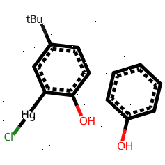 CC(C)(C)c1ccc(O)[c]([Hg][Cl])c1.Oc1ccccc1